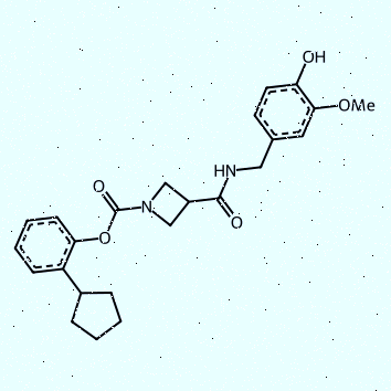 COc1cc(CNC(=O)C2CN(C(=O)Oc3ccccc3C3CCCC3)C2)ccc1O